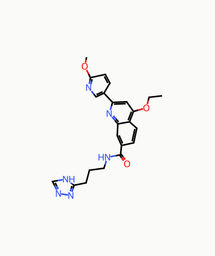 CCOc1cc(-c2ccc(OC)nc2)nc2cc(C(=O)NCCCc3nnc[nH]3)ccc12